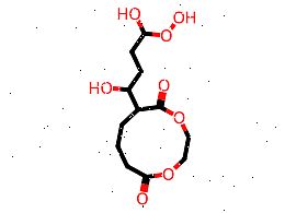 O=C1CCCC(C(O)CCC(O)OO)C(=O)OCCO1